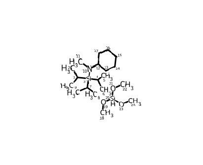 CC(C)[Si](C(C)C)(C(C)C)N(C)C1CCCCC1.CO[SiH](OC)OC